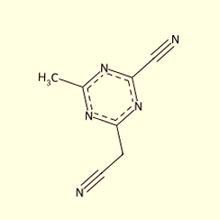 Cc1nc(C#N)nc(CC#N)n1